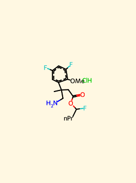 CCCC(F)OC(=O)CC(C)(CN)c1cc(F)cc(F)c1OC.Cl